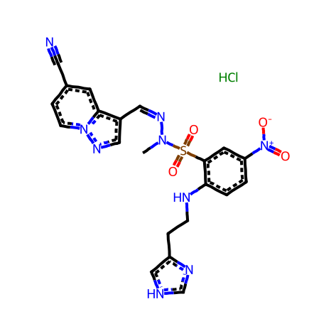 CN(/N=C\c1cnn2ccc(C#N)cc12)S(=O)(=O)c1cc([N+](=O)[O-])ccc1NCCc1c[nH]cn1.Cl